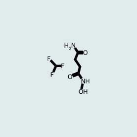 FC(F)F.NC(=O)CCC(=O)NO